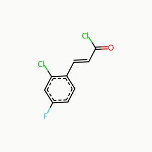 O=C(Cl)C=Cc1ccc(F)cc1Cl